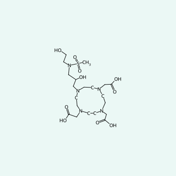 CS(=O)(=O)N(CCO)CC(O)CN1CCN(CC(=O)O)CCN(CC(=O)O)CCN(CC(=O)O)CC1